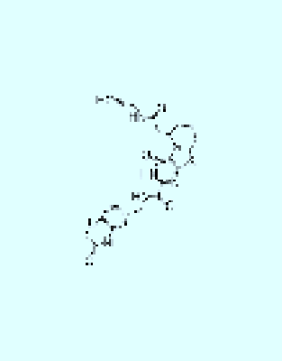 C#CCNC(=O)CC1CCCc2sc3nc(C(=O)NCc4ccc5c(c4)NC(=O)CO5)[nH]c(=O)c3c21